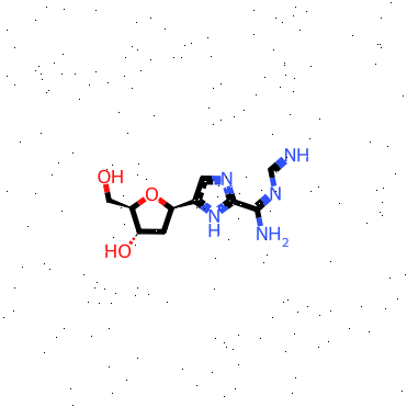 N=C/N=C(/N)c1ncc([C@H]2C[C@H](O)[C@@H](CO)O2)[nH]1